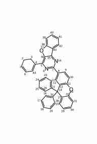 C1=CCCC(c2nc(-c3ccc4c(c3)C(c3ccccc3)(c3ccccc3)c3ccccc3O4)nc3c2oc2ccccc23)=C1